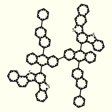 c1ccc(-c2ccc3cc(-c4c5ccccc5c(-c5cc6sc7ccccc7c6c6c5sc5c7ccccc7ccc56)c5ccc(-c6ccc7c(-c8cc9sc%10cc%11ccccc%11cc%10c9c9sc%10ccccc%10c89)c8ccccc8c(-c8ccc9cc(-c%10ccccc%10)ccc9c8)c7c6)cc45)ccc3c2)cc1